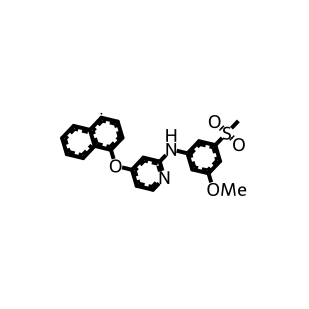 COc1cc(Nc2cc(Oc3cc[c]c4ccccc34)ccn2)cc(S(C)(=O)=O)c1